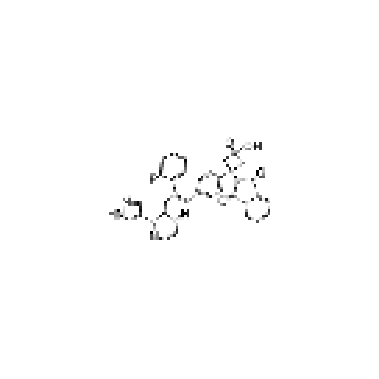 O=C1c2ccccc2C(=O)N1C1(c2ccc(-c3nc4ccnc(-c5cn[nH]c5)c4cc3-c3ccccc3F)cc2)CC(O)(O)C1